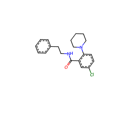 O=C(NCCc1ccccc1)c1cc(Cl)ccc1N1CCCCC1